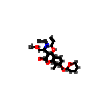 C=CCOc1c(C(COCC)=NOC)c(=O)oc2c(C)c(OC3CCCCO3)ccc12